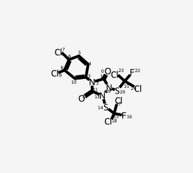 O=c1n(-c2ccc(Cl)c(Cl)c2)c(=O)n(SC(F)(Cl)Cl)n1SC(F)(Cl)Cl